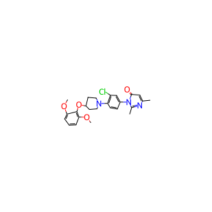 COc1cccc(OC)c1OC1CCN(c2ccc(-n3c(C)nc(C)cc3=O)cc2Cl)CC1